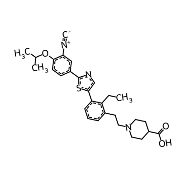 [C-]#[N+]c1cc(-c2ncc(-c3cccc(CCN4CCC(C(=O)O)CC4)c3CC)s2)ccc1OC(C)C